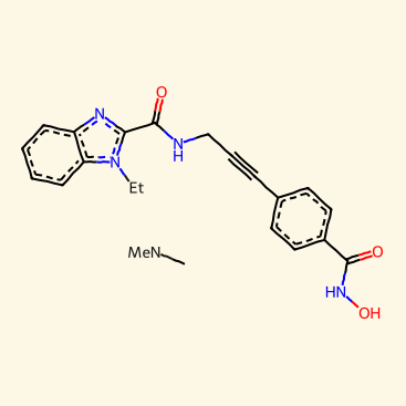 CCn1c(C(=O)NCC#Cc2ccc(C(=O)NO)cc2)nc2ccccc21.CNC